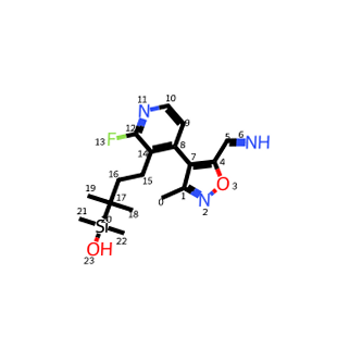 Cc1noc(C=N)c1-c1ccnc(F)c1CCC(C)(C)[Si](C)(C)O